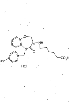 CC(C)c1ccc(CN2C(=O)[C@@H](NCCCCCC(=O)O)COc3ccccc32)cc1.Cl